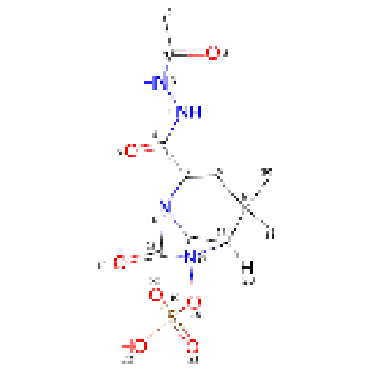 CC(=O)NNC(=O)[C@@H]1CC(C)(C)[C@@H]2CN1C(=O)N2OS(=O)(=O)O